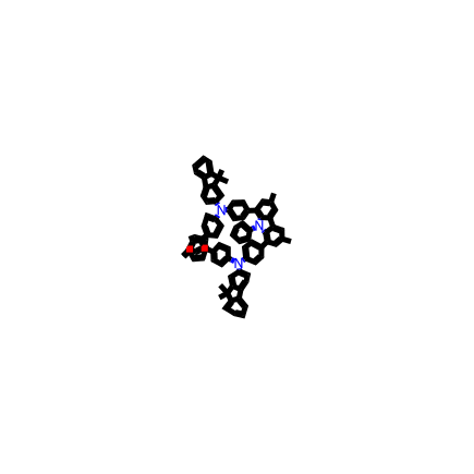 C=C/C=C(\C=C/C)c1ccc(N(c2ccc(-c3cc(C)cc4c5cc(C)cc(-c6ccc(N(c7ccc(-c8ccccc8)cc7)c7ccc8c(c7)C(C)(C)c7ccccc7-8)cc6)c5n(-c5ccccc5)c34)cc2)c2ccc3c(c2)C(C)(C)c2ccccc2-3)cc1